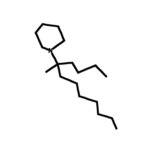 CCCCCCCC(C)(CCCC)N1CCCCC1